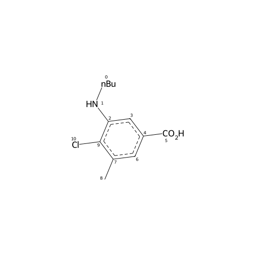 CCCCNc1cc(C(=O)O)cc(C)c1Cl